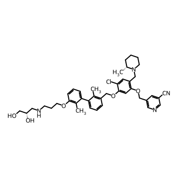 Cc1c(COc2cc(OCc3cncc(C#N)c3)c(CN3CCCC[C@H]3C)cc2Cl)cccc1-c1cccc(OCCCNC[C@H](O)CO)c1C